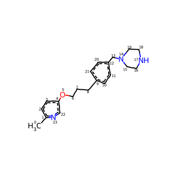 Cc1ccc(OCCCc2ccc(CN3CCNCC3)cc2)cn1